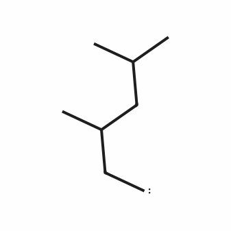 [CH]CC(C)CC(C)C